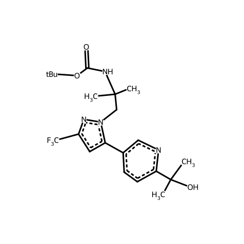 CC(C)(Cn1nc(C(F)(F)F)cc1-c1ccc(C(C)(C)O)nc1)NC(=O)OC(C)(C)C